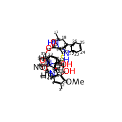 COc1c(C)cc2c(c1O)[C@H]1C3[C@@H]4SC[C@]5(NC(C)Cc6c5[nH]c5ccccc65)C(=O)OC[C@@H](c5c6c(c(C)c(O)c54)OCO6)N3[C@@H](C#N)[C@H](C2)N1C